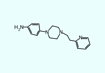 Nc1ccc(N2CCN(CCc3ccccn3)CC2)cc1